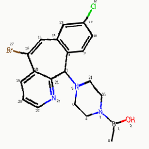 CB(O)N1CCN(C2c3ccc(Cl)cc3C=C(Br)c3cccnc32)CC1